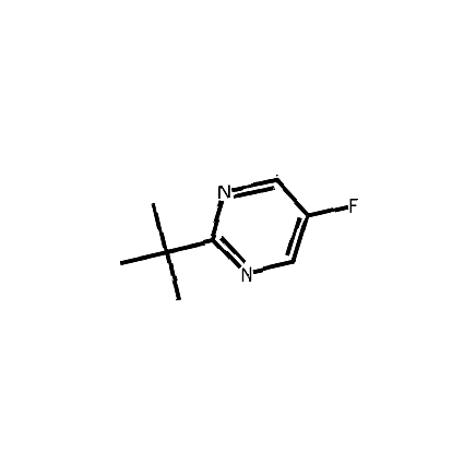 CC(C)(C)c1n[c]c(F)cn1